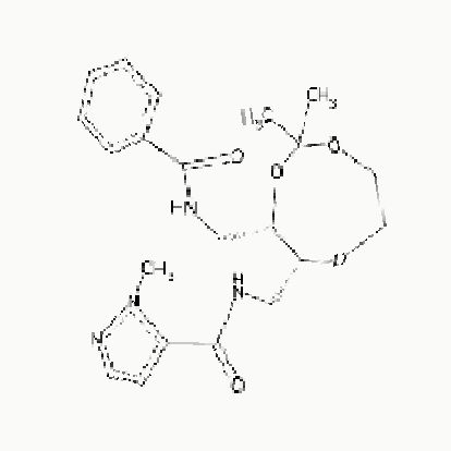 Cn1nccc1C(=O)NC[C@H]1OCCOC(C)(C)O[C@H]1CNC(=O)c1ccccc1